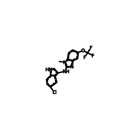 Cn1c(Nc2c[nH]c3ccc(Cl)cc23)nc2cc(OC(F)(F)F)ccc21